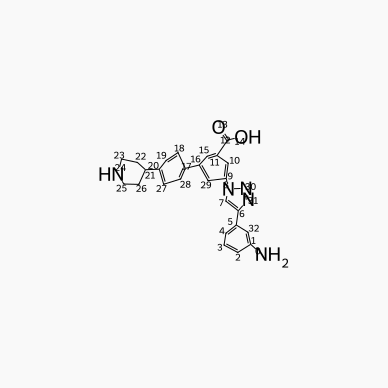 Nc1cccc(-c2cn(-c3cc(C(=O)O)cc(-c4ccc(C5CCNCC5)cc4)c3)nn2)c1